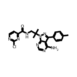 Cc1ccc(-c2nn(C(C)(C)CNC(=O)c3ccnc(Cl)n3)c3ncnc(N)c23)cc1